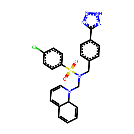 O=S(=O)(c1ccc(Cl)cc1)N(Cc1ccc(-c2nn[nH]n2)cc1)CN1C=CC=C2C=CC=CC21